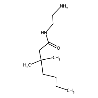 CCCCC(C)(C)CC(=O)NCCN